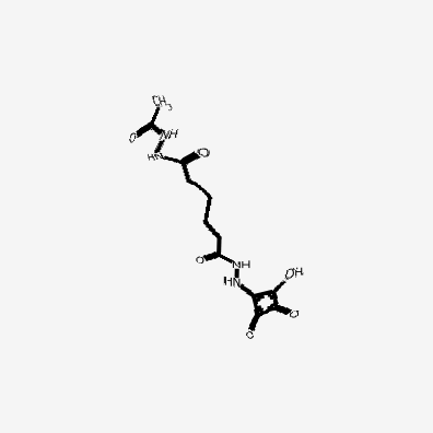 CC(=O)NNC(=O)CCCCC(=O)NNc1c(O)c(=O)c1=O